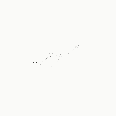 [AlH3].[AlH3].[Mo][Mo].[Mo][Mo]